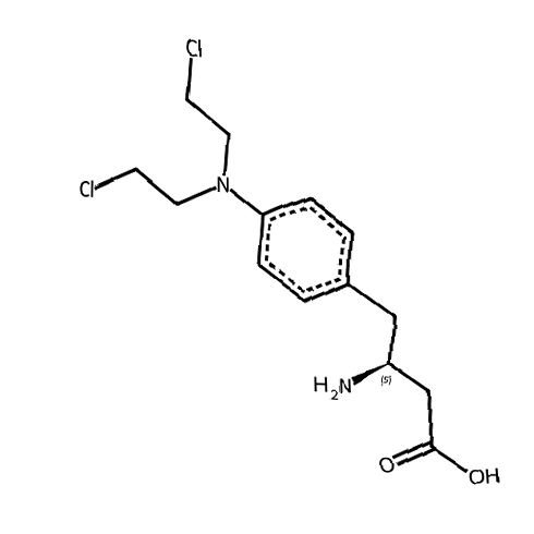 N[C@H](CC(=O)O)Cc1ccc(N(CCCl)CCCl)cc1